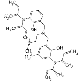 C=CC(=C)N(C(=C)C=C)c1cccc(CN(CCSC)Cc2cc(C)cc(N(C(=C)C=C)C(=C)C=C)c2O)c1O